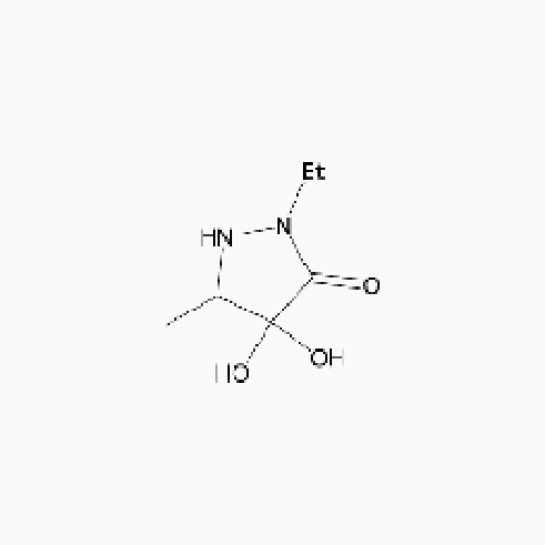 CCN1NC(C)C(O)(O)C1=O